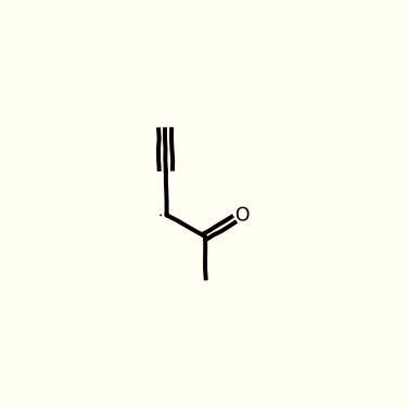 C#C[CH]C(C)=O